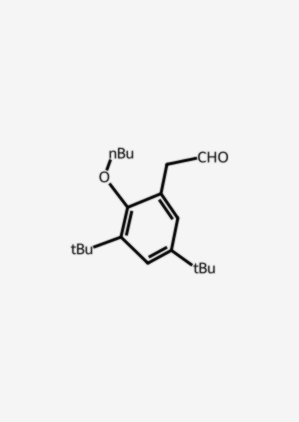 CCCCOc1c(CC=O)cc(C(C)(C)C)cc1C(C)(C)C